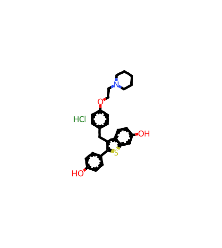 Cl.Oc1ccc(-c2sc3cc(O)ccc3c2Cc2ccc(OCCN3CCCCC3)cc2)cc1